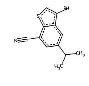 [2H]c1csc2c(C#N)cc(C(C)C)cc12